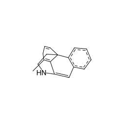 CC1=C2C3=Cc4ccccc4C2(C=CC1)CCN3